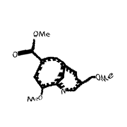 COC(=O)c1cc(OC)c2ncc(OC)cc2c1